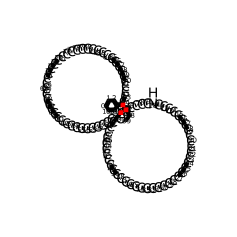 c1ccc(CN2CCCCNCCCCCCCCCCCCCCCCCCCCCCCCCCCCCCCCCCCCCCCC3(CCCCCCCCCCCCCCCCCCCCCCCCCCCCCCCCCCCCCCCCCCCCCC34OCCO4)C2)cc1